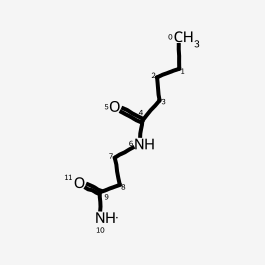 CCCCC(=O)NCCC([NH])=O